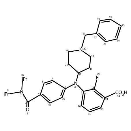 CC(C)N(C(=O)c1ccc(N(c2cccc(C(=O)O)c2F)C2CCN(Cc3ccccc3)CC2)cc1)C(C)C